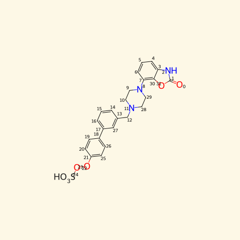 O=c1[nH]c2cccc(N3CCN(Cc4cccc(-c5ccc(OOS(=O)(=O)O)cc5)c4)CC3)c2o1